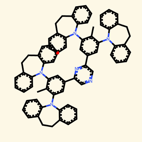 Cc1c(N2c3ccccc3CCc3ccccc32)cc(-c2cncc(-c3cc(N4c5ccccc5CCc5ccccc54)c(C)c(N4c5ccccc5CCc5ccccc54)c3)n2)cc1N1c2ccccc2CCc2ccccc21